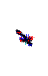 COC(=O)NC(C(=O)NC(Cc1ccc(C#Cc2ccc(N3CC4CCC(C3)N4C3COC3)nc2)cc1)C(O)CN(Cc1c(F)cc(-c2ccn(C)n2)cc1F)NC(=O)C(NC(=O)O)C(C)(C)C)C(C)(C)C